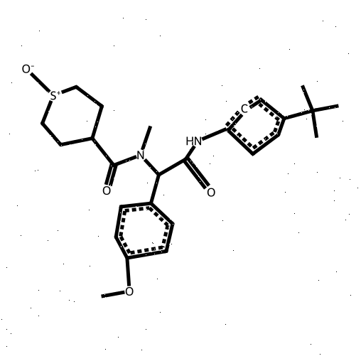 COc1ccc(C(C(=O)Nc2ccc(C(C)(C)C)cc2)N(C)C(=O)C2CC[S+]([O-])CC2)cc1